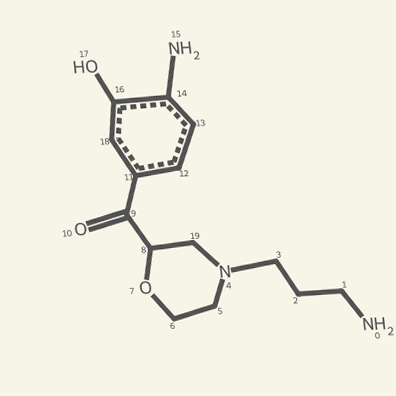 NCCCN1CCOC(C(=O)c2ccc(N)c(O)c2)C1